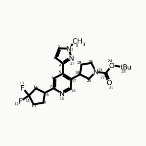 Cn1ccc(-c2cc(C3CCC(F)(F)C3)ncc2C2CCN(C(=O)OC(C)(C)C)C2)n1